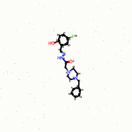 O=C(CN1CCN(Cc2ccccc2)CC1)NN=Cc1cc(F)ccc1O